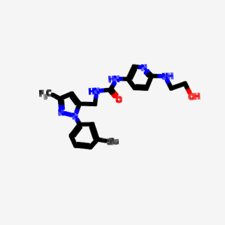 CC(C)(C)c1cccc(-n2nc(C(F)(F)F)cc2CNC(=O)Nc2ccc(NCCO)nc2)c1